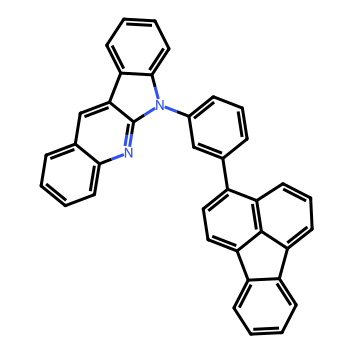 c1cc(-c2ccc3c4c(cccc24)-c2ccccc2-3)cc(-n2c3ccccc3c3cc4ccccc4nc32)c1